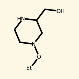 CCON1CCNC(CO)C1